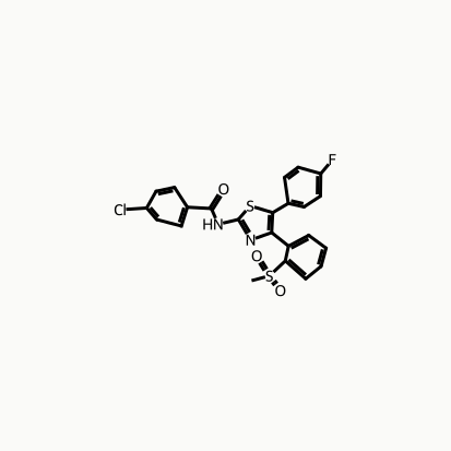 CS(=O)(=O)c1ccccc1-c1nc(NC(=O)c2ccc(Cl)cc2)sc1-c1ccc(F)cc1